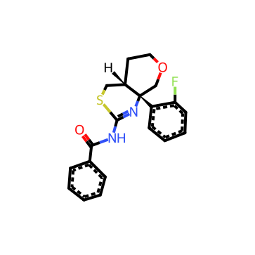 O=C(NC1=N[C@@]2(c3ccccc3F)COCC[C@H]2CS1)c1ccccc1